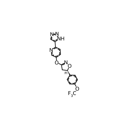 FC(F)(F)Oc1ccc([C@H]2CC(Oc3ccc(-c4cnn[nH]4)nc3)=NO2)cc1